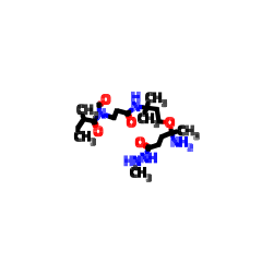 CCC(C)C(=O)N(C=O)CCC(=O)NC(C)(C)CCOC(C)(N)CCC(=O)NNC